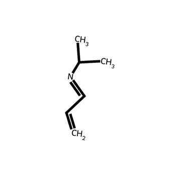 C=CC=NC(C)C